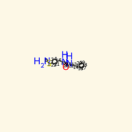 NSc1ccc(CCNC(=O)NCCCc2ccccc2)cc1